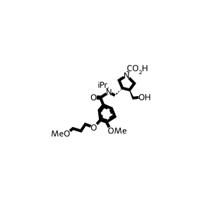 COCCCOc1cc(C(=O)N(C[C@@H]2CN(C(=O)O)C[C@H]2CO)C(C)C)ccc1OC